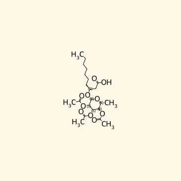 CCCCCCC[C@@H](CC(=O)O)O[C@@H]1O[C@H](C)[C@@H](OC(C)=O)[C@H](OC(C)=O)[C@@H]1OC(C)=O